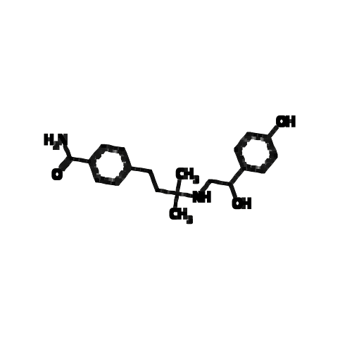 CC(C)(CCc1ccc(C(N)=O)cc1)NCC(O)c1ccc(O)cc1